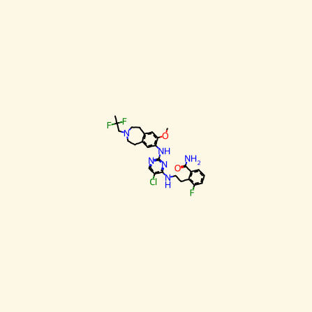 COc1cc2c(cc1Nc1ncc(Cl)c(NCCc3c(F)cccc3C(N)=O)n1)CCN(CC(C)(F)F)CC2